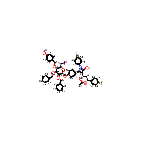 COc1ccc(CO[C@H]2[C@H](OCc3ccccc3)[C@@H](OCc3ccccc3)[C@H](Oc3ccc([C@@H]4[C@@H](CC[C@H](OC(C)=O)c5ccc(F)cc5)C(=O)N4c4ccc(F)cc4)cc3)O[C@@H]2CI)cc1